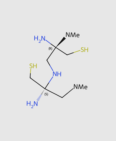 CNC[C@@](N)(CS)NC[C@](N)(CS)NC